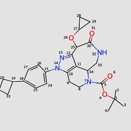 CC(C)(C)OC(=O)N1CCc2c3c(nn2-c2ccc(C4CCC4)cc2)C(OC2CC2)C(=O)NCC31